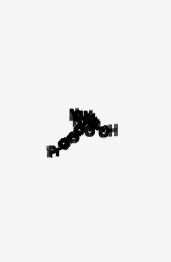 CC(C)c1ccc(COc2ccc(-c3c(-c4ccncn4)nn4c3C(=O)N(CCO)CC4)cc2)cc1